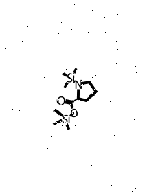 C[Si](C)(C)OC(=O)[C@@H]1CCCN1[Si](C)(C)C